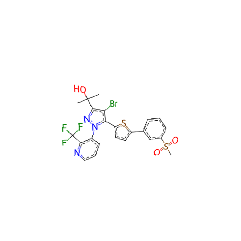 CC(C)(O)c1nn(-c2cccnc2C(F)(F)F)c(-c2ccc(-c3cccc(S(C)(=O)=O)c3)s2)c1Br